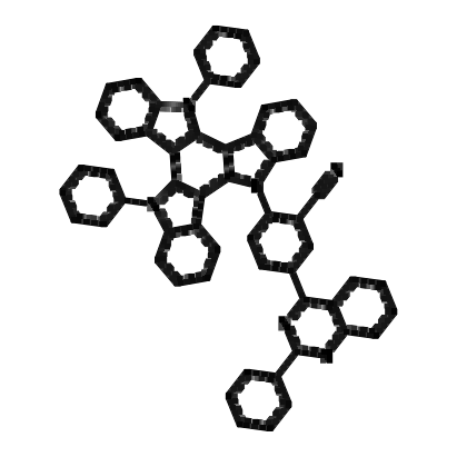 N#Cc1cc(-c2nc(-c3ccccc3)nc3ccccc23)ccc1-n1c2ccccc2c2c3c(c4ccccc4n3-c3ccccc3)c3c(c4ccccc4n3-c3ccccc3)c21